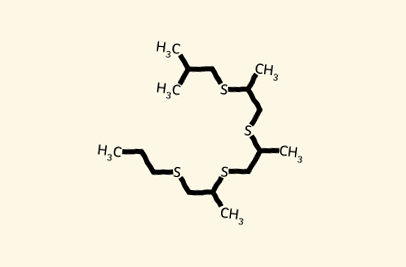 CCCSCC(C)SCC(C)SCC(C)SCC(C)C